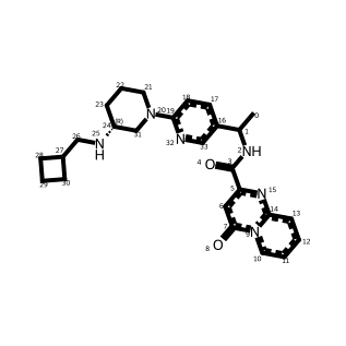 CC(NC(=O)c1cc(=O)n2ccccc2n1)c1ccc(N2CCC[C@@H](NCC3CCC3)C2)nc1